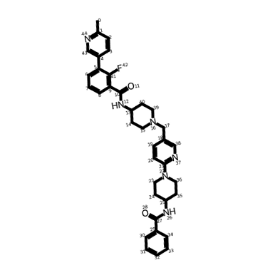 Cc1ccc(-c2cccc(C(=O)NC3CCN(Cc4ccc(N5CCC(NC(=O)c6ccccc6)CC5)nc4)CC3)c2F)cn1